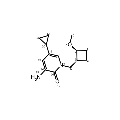 CO[C@H]1CC[C@H]1Cn1cc(C2CC2)cc(N)c1=O